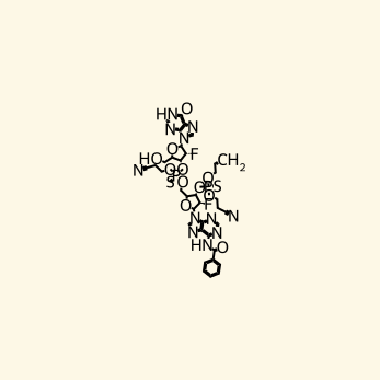 C=CCOP(=S)(OCCC#N)O[C@@H]1C(COP(=S)(OCCC#N)O[C@@H]2C(CO)OC(n3cnc4c(=O)[nH]cnc43)[C@@H]2F)OC(n2cnc3c(NC(=O)c4ccccc4)ncnc32)[C@@H]1F